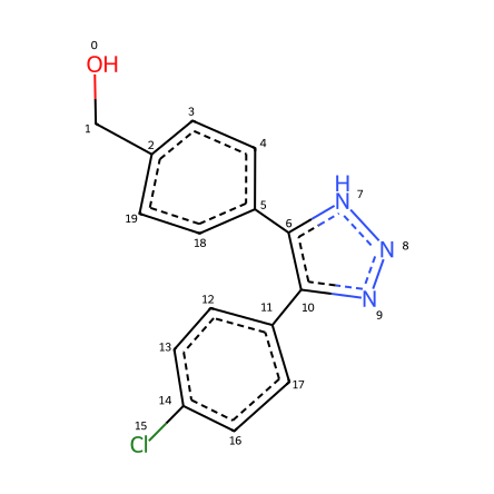 OCc1ccc(-c2[nH]nnc2-c2ccc(Cl)cc2)cc1